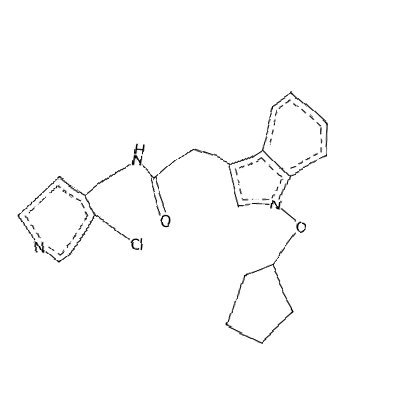 O=C(Cc1cn(OC2CCCC2)c2ccccc12)Nc1ccncc1Cl